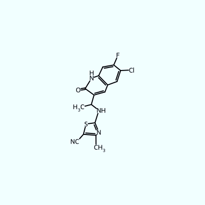 Cc1nc(NC(C)c2cc3cc(Cl)c(F)cc3[nH]c2=O)sc1C#N